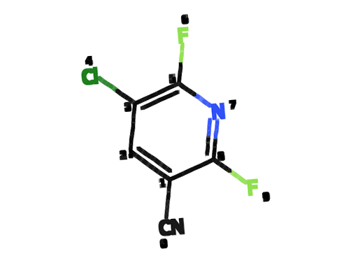 N#Cc1[c]c(Cl)c(F)nc1F